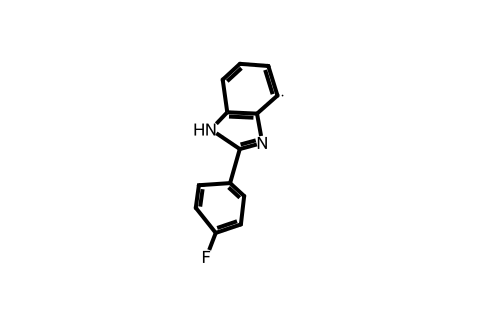 Fc1ccc(-c2nc3[c]cccc3[nH]2)cc1